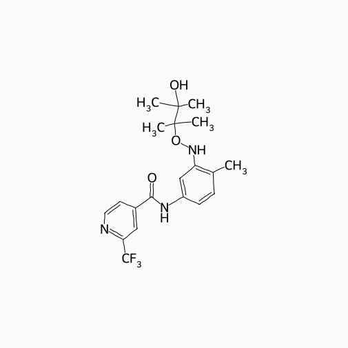 Cc1ccc(NC(=O)c2ccnc(C(F)(F)F)c2)cc1NOC(C)(C)C(C)(C)O